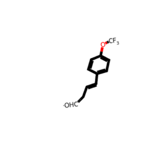 O=[C]CC=Cc1ccc(OC(F)(F)F)cc1